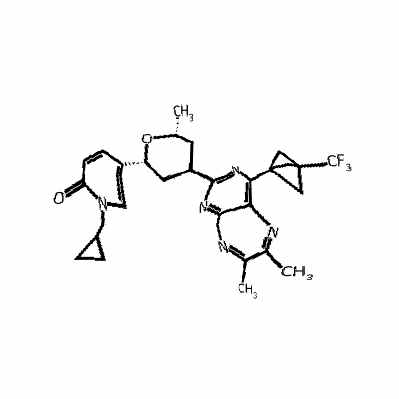 Cc1nc2nc(C3C[C@@H](C)O[C@@H](c4ccc(=O)n(C5CC5)c4)C3)nc(C34CC(C(F)(F)F)(C3)C4)c2nc1C